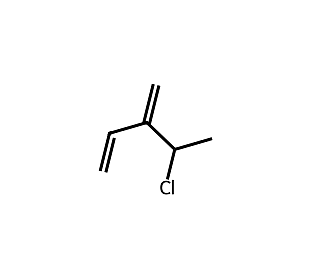 C=CC(=C)C(C)Cl